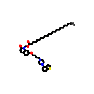 CC/C=C/C/C=C/C/C=C/C/C=C/C/C=C/C/C=C/CCC(=O)OCn1c(=O)ccc2ccc(OCCCCN3CCN(c4cccc5sccc45)CC3)cc21